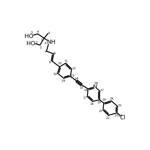 CC(CO)(CO)NCC=Cc1ccc(C#Cc2ccc(-c3ccc(Cl)cc3)cn2)cc1